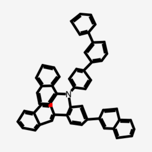 c1ccc(-c2cccc(-c3ccc(N(c4cc(-c5ccc6ccccc6c5)ccc4-c4ccc5ccccc5c4)c4cccc5ccccc45)cc3)c2)cc1